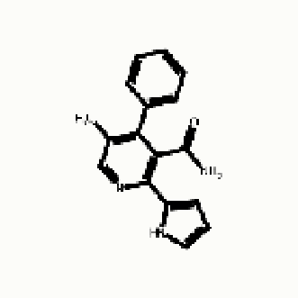 NC(=O)c1c(-c2ccc[nH]2)ncc(C(F)(F)F)c1-c1ccccc1